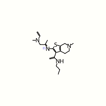 C=CN(C)C/C(C)=N/c1sc2c(c1C(=C)NCCC)CCN(C)C2